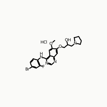 COc1cc2c(Nc3ccc(Br)cc3F)ncnc2cc1OCC(O)CN1CCCC1.Cl